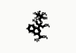 C=C(C)c1cc(C(CC)(CC)OCC(C)(O)C(F)(F)F)c2ccccc2c1